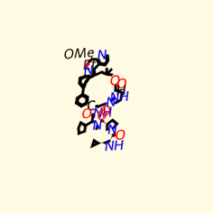 CCn1c(-c2cccnc2[C@H](C)OC)c2c3cc(ccc31)-c1cccc(c1)C[C@H](NC(=O)C(C1CCCC1)N(C)C(=O)[C@@H]1CCN(C(=O)[C@@H]3N[C@@H]3C3CC3)C1)C(=O)N1CCC[C@H](N1)C(=O)OCC(C)(C)C2